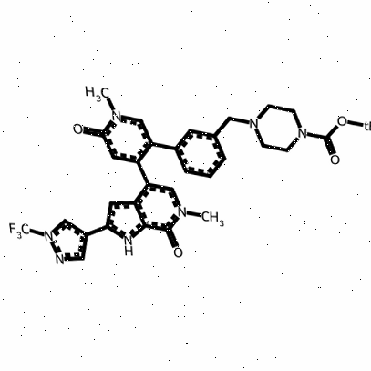 Cn1cc(-c2cccc(CN3CCN(C(=O)OC(C)(C)C)CC3)c2)c(-c2cn(C)c(=O)c3[nH]c(-c4cnn(C(F)(F)F)c4)cc23)cc1=O